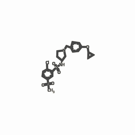 CS(=O)(=O)c1ccc(Cl)c(S(=O)(=O)N[C@@H]2CCN(Cc3ccc(OC4CC4)cc3)C2)c1